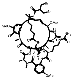 COc1ccc(C(=O)N(C)[C@@H](C)C(=O)O[C@H]2CC(=O)N(C)c3cc(cc(OC)c3Cl)C/C(C)=C/C=C/[C@@H](OC)[C@@]3(O)C[C@H](OC(=O)N3)[C@@H](C)[C@@H]3O[C@@]23C)c(NC(=O)[C@H](CCCNC(N)=O)NC(=O)[C@@H](NC(=O)CCCCC(C)OC(=O)C(CBr)CBr)C(C)C)c1